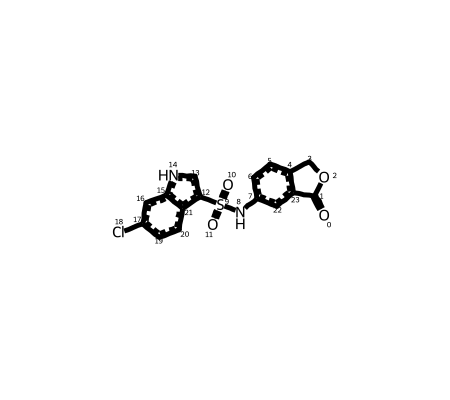 O=C1OCc2ccc(NS(=O)(=O)c3c[nH]c4cc(Cl)ccc34)cc21